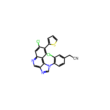 N#CCc1ccc(-n2cnc3cnc4cc(Cl)c(-c5cccs5)cc4c32)c(Cl)c1